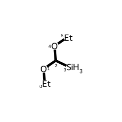 CCOC([SiH3])OCC